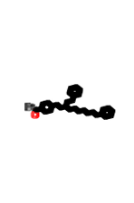 CCC(=O)C1CCC(CCC(CCCCCCCc2ccccc2)CCc2ccccc2)CC1